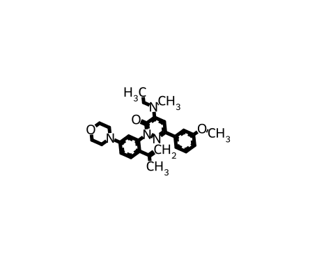 C=C(C)c1ccc(N2CCOCC2)cc1-n1nc(-c2cccc(OC)c2)cc(N(C)CC)c1=O